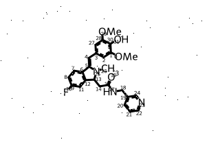 COc1cc(C=C2c3ccc(F)cc3C(CC(=O)NCc3cccnc3)N2C)cc(OC)c1O